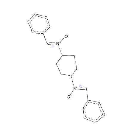 [O-]/[N+](=C\c1ccccc1)C1CCC(/[N+]([O-])=C/c2ccccc2)CC1